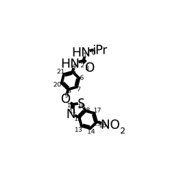 CC(C)NC(=O)Nc1ccc(Oc2nc3ccc([N+](=O)[O-])cc3s2)cc1